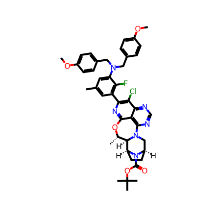 COc1ccc(CN(Cc2ccc(OC)cc2)c2cc(C)cc(-c3nc4c5c(ncnc5c3Cl)N3C[C@H]5CC[C@@H]([C@H]3[C@H](C)O4)N5C(=O)OC(C)(C)C)c2F)cc1